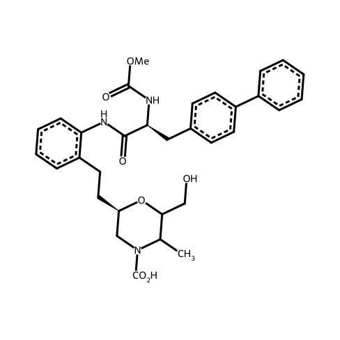 COC(=O)N[C@@H](Cc1ccc(-c2ccccc2)cc1)C(=O)Nc1ccccc1CC[C@@H]1CN(C(=O)O)C(C)C(CO)O1